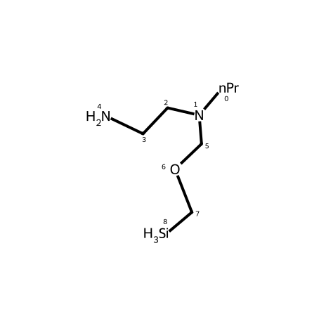 CCCN(CCN)COC[SiH3]